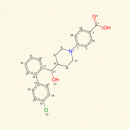 O=C(O)c1ccc(N2CCC(C(O)c3ccccc3-c3ccc(Cl)cc3)CC2)cc1